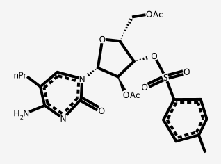 CCCc1cn([C@@H]2O[C@H](COC(C)=O)[C@H](OS(=O)(=O)c3ccc(C)cc3)[C@H]2OC(C)=O)c(=O)nc1N